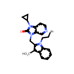 CC(C)CCn1c(Cn2c(=O)n(C3CC3)c3ccncc32)c(C(=O)O)c2ccccc21